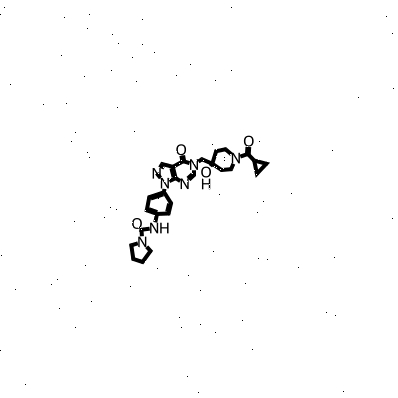 O=C(Nc1ccc(-n2ncc3c(=O)n(CC4(O)CCN(C(=O)C5CC5)CC4)cnc32)cc1)N1CCCC1